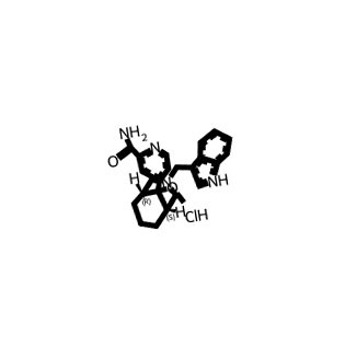 COC1(c2ccnc(C(N)=O)c2)[C@@H]2CCC[C@H]1CN(Cc1c[nH]c3ccccc13)C2.Cl